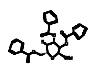 CC(=O)O[C@H]1O[C@H](COC(=O)c2ccccc2)[C@@H](F)[C@H](OC(=O)c2ccccc2)[C@H]1OC(=O)c1ccccc1